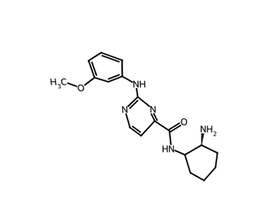 COc1cccc(Nc2nccc(C(=O)NC3CCCC[C@@H]3N)n2)c1